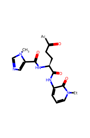 CCn1cccc(NC(=O)[C@H](CCC(=O)C(C)=O)NC(=O)c2cncn2C)c1=O